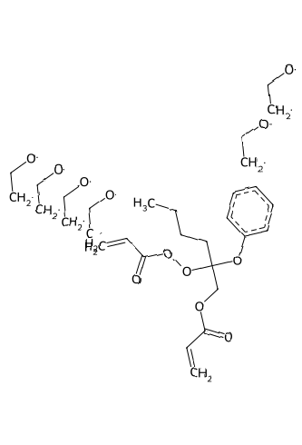 C=CC(=O)OCC(CCCC)(OOC(=O)C=C)Oc1ccccc1.[CH2]C[O].[CH2]C[O].[CH2]C[O].[CH2]C[O].[CH2]C[O].[CH2]C[O]